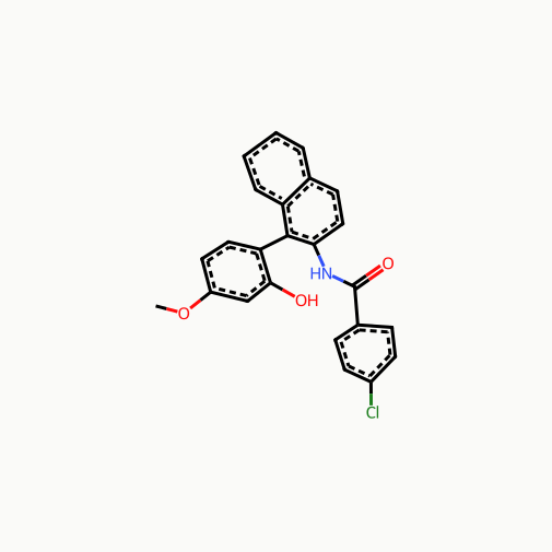 COc1ccc(-c2c(NC(=O)c3ccc(Cl)cc3)ccc3ccccc23)c(O)c1